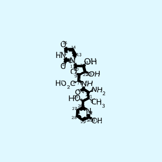 C[C@@H]([C@H](N)C(=O)N[C@H](C(=O)O)C1OC(n2ccc(=O)[nH]c2=O)C(O)C1O)[C@H](O)c1cccc(O)n1